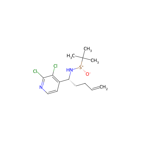 C=CCC[C@@H](N[S@@+]([O-])C(C)(C)C)c1ccnc(Cl)c1Cl